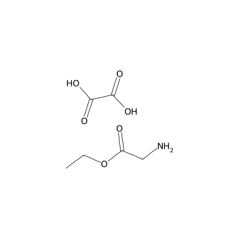 CCOC(=O)CN.O=C(O)C(=O)O